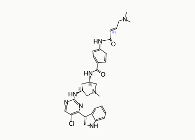 CN(C)C/C=C/C(=O)Nc1ccc(C(=O)N[C@@H]2C[C@H](Nc3ncc(Cl)c(-c4c[nH]c5ccccc45)n3)CN(C)C2)cc1